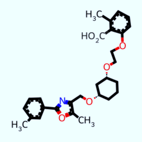 Cc1cccc(-c2nc(CO[C@H]3CCC[C@@H](OCCOc4cccc(C)c4C(=O)O)C3)c(C)o2)c1